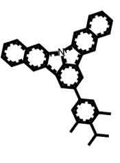 Cc1cc(-c2cc3c4cc5ccccc5cc4n4c5cc6ccccc6cc5c(c2)c34)cc(C)c1C(C)C